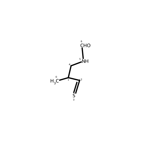 CC([C]=S)CNC=O